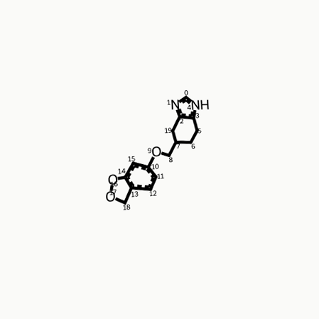 c1nc2c([nH]1)CCC(COc1ccc3c(c1)OOC3)C2